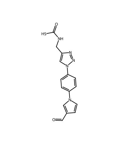 O=Cc1ccn(-c2ccc(-n3cc(CNC(=O)S)nn3)cc2)c1